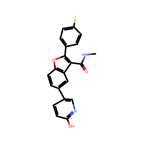 CNC(=O)c1c(-c2ccc(F)cc2)oc2ccc(-c3ccc(O)nc3)cc12